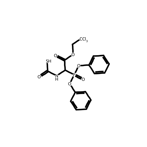 O=C(S)NC(C(=O)OCC(Cl)(Cl)Cl)P(=O)(Oc1ccccc1)Oc1ccccc1